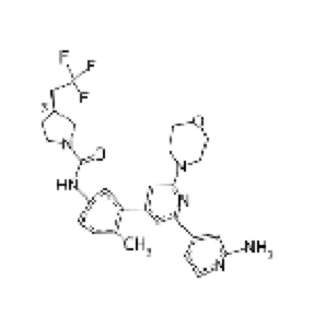 Cc1ccc(NC(=O)N2CC[C@@H](CC(F)(F)F)C2)cc1-c1cc(-c2ccnc(N)c2)nc(N2CCOCC2)c1